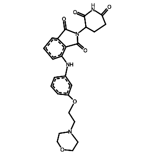 O=C1CCC(N2C(=O)c3cccc(Nc4cccc(OCCN5CCOCC5)c4)c3C2=O)C(=O)N1